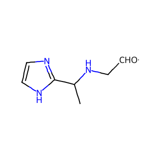 CC(NC[C]=O)c1ncc[nH]1